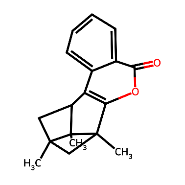 CC12CC3c4c(oc(=O)c5ccccc45)C(C)(C1)C32C